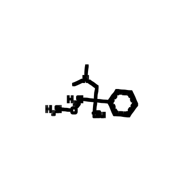 CN(C)CC([SiH2]O[SiH3])(c1ccccc1)C(C)(C)C